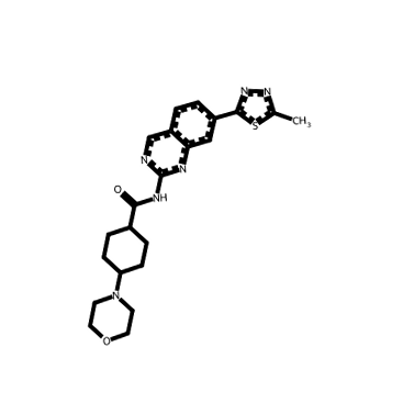 Cc1nnc(-c2ccc3cnc(NC(=O)C4CCC(N5CCOCC5)CC4)nc3c2)s1